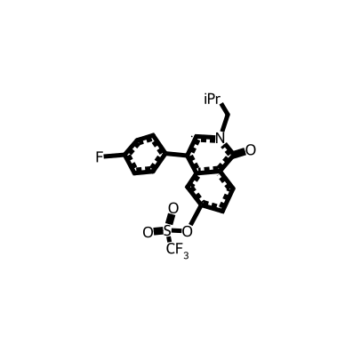 CC(C)Cn1[c]c(-c2ccc(F)cc2)c2cc(OS(=O)(=O)C(F)(F)F)ccc2c1=O